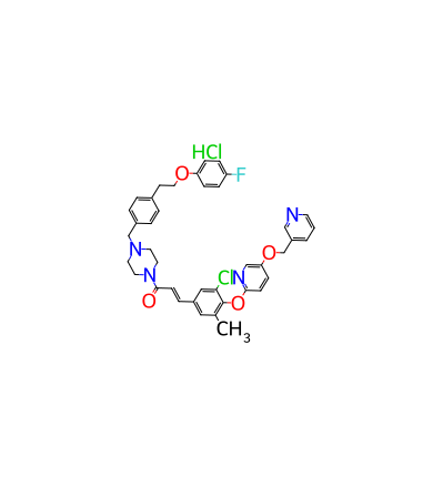 Cc1cc(C=CC(=O)N2CCN(Cc3ccc(CCOc4ccc(F)cc4)cc3)CC2)cc(Cl)c1Oc1ccc(OCc2cccnc2)cn1.Cl